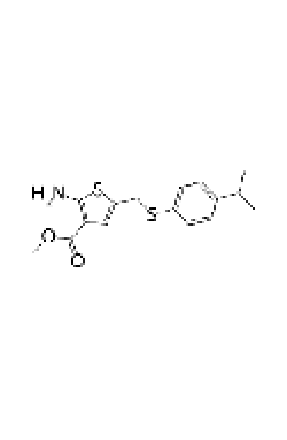 COC(=O)c1cc(CSc2ccc(C(C)C)cc2)sc1N